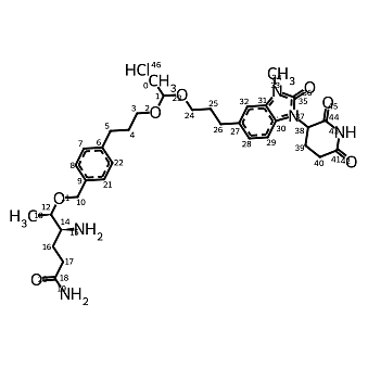 CC(OCCCc1ccc(CO[C@H](C)[C@@H](N)CCC(N)=O)cc1)OCCCc1ccc2c(c1)n(C)c(=O)n2C1CCC(=O)NC1=O.Cl